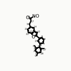 Cc1cc(C)c(-c2cccc(-c3cc4cc(CCC(=O)N=O)ccc4o3)c2)c(C)c1